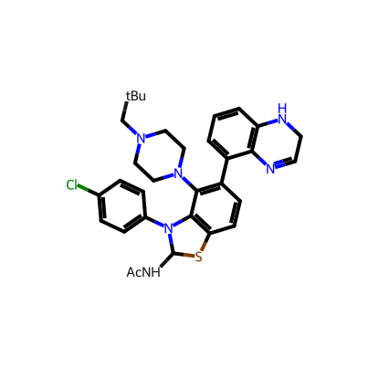 CC(=O)NC1Sc2ccc(-c3cccc4c3N=CCN4)c(N3CCN(CC(C)(C)C)CC3)c2N1c1ccc(Cl)cc1